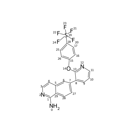 Nc1nccc2cc(-c3cccnc3Oc3ccc(S(F)(F)(F)(F)F)cc3)ccc12